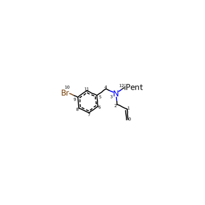 C=CCN(Cc1cccc(Br)c1)C(C)CCC